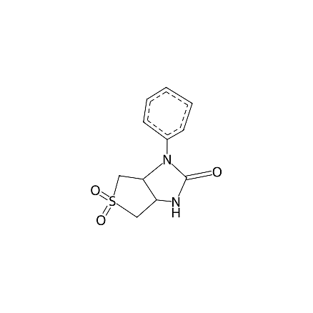 O=C1NC2CS(=O)(=O)CC2N1c1ccccc1